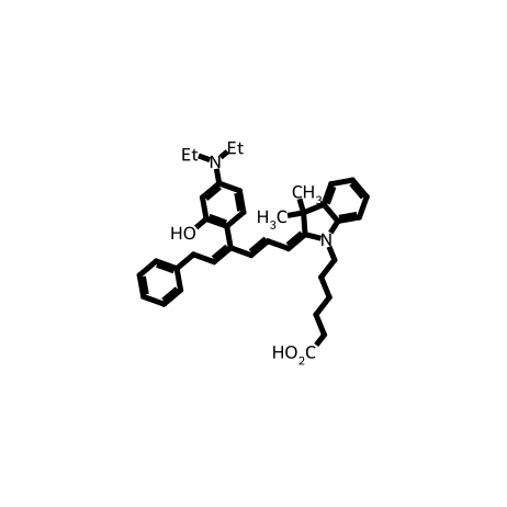 CCN(CC)c1ccc(C(=C\Cc2ccccc2)/C=C/C=C2/N(CCCCCC(=O)O)c3ccccc3C2(C)C)c(O)c1